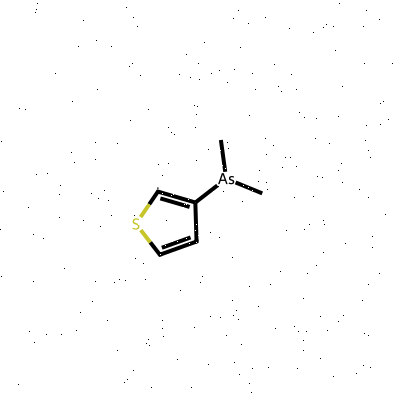 C[As](C)c1[c]scc1